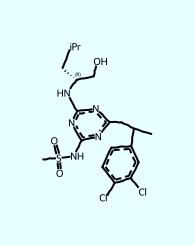 CC(C)C[C@H](CO)Nc1nc(CC(C)c2ccc(Cl)c(Cl)c2)nc(NS(C)(=O)=O)n1